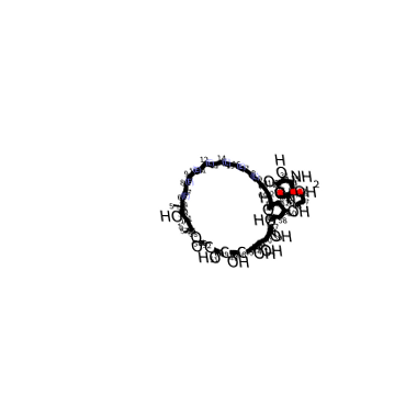 C[C@@H]1[C@H](O)[C@@H](C)/C=C/C=C/C=C/C=C/C=C/C=C/C=C/[C@H](O[C@@H]2O[C@H](C)[C@@H](O)[C@H](N)[C@@H]2O)C[C@@H]2O[C@](O)(C[C@@H](O)C[C@@H](O)[C@H](O)CC[C@@H](O)C[C@@H](O)CC(=O)O[C@H]1C)C[C@H](O)[C@H]2C(=O)N1CCCC1